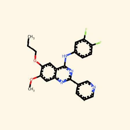 CCCOc1cc2c(Nc3ccc(F)c(F)c3)nc(-c3cccnc3)nc2cc1OC